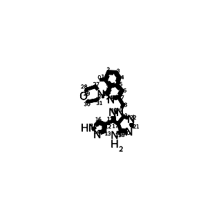 Cc1cccc2cc(CN3N=C(c4cn[nH]c4)C4C(N)=NC=NC43)nc(N3CCOCC3)c12